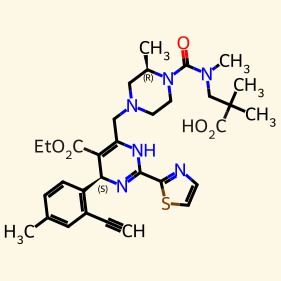 C#Cc1cc(C)ccc1[C@@H]1N=C(c2nccs2)NC(CN2CCN(C(=O)N(C)CC(C)(C)C(=O)O)[C@H](C)C2)=C1C(=O)OCC